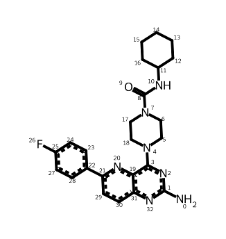 Nc1nc(N2CCN(C(=O)NC3CCCCC3)CC2)c2nc(-c3ccc(F)cc3)ccc2n1